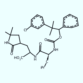 CC(C)C[C@H](NC(=O)OC(c1ccccc1)C(C)(C)c1cccc(Cl)c1)C(=O)NC(CC1CC(C)(C)NC1=O)C(=O)O